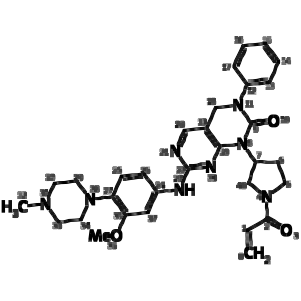 C=CC(=O)N1CCC(N2C(=O)N(c3ccccc3)Cc3cnc(Nc4ccc(N5CCN(C)CC5)c(OC)c4)nc32)C1